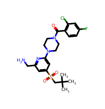 CC(C)(C)CS(=O)(=O)c1cc(CN)nc(N2CCN(C(=O)c3ccc(F)cc3Cl)CC2)c1